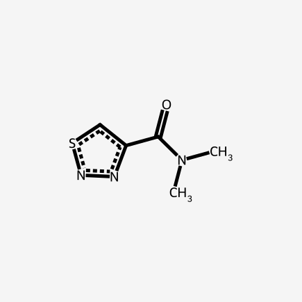 CN(C)C(=O)c1csnn1